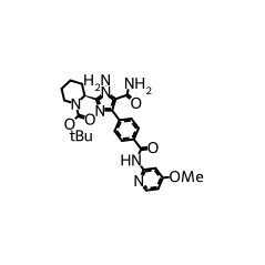 COc1ccnc(NC(=O)c2ccc(-c3nc([C@@H]4CCCCN4C(=O)OC(C)(C)C)n(N)c3C(N)=O)cc2)c1